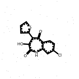 O=c1[nH]c2cc(Cl)ccc2c(=O)c(-c2cccs2)c1O